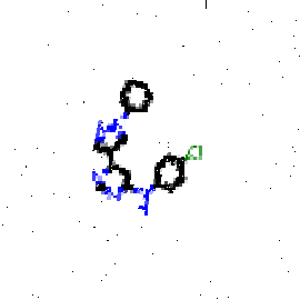 Clc1ccc(Nc2cc(-c3cnn(-c4ccccc4)c3)ncn2)cc1